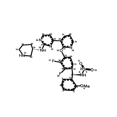 COc1ccccc1[C@H](N[SH](=O)=O)c1ccc(Oc2ncccc2-c2ccnc(N[C@H]3CCCNC3)n2)c(F)c1F